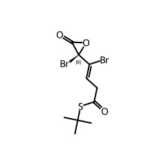 CC(C)(C)SC(=O)CC=C(Br)[C@@]1(Br)OC1=O